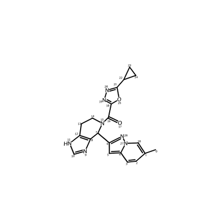 Cc1ccc2cc(C3c4nc[nH]c4CCN3C(=O)c3nnc(C4CC4)o3)nn2c1